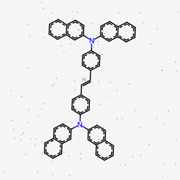 C(=C\c1ccc(N(c2ccc3ccccc3c2)c2ccc3ccccc3c2)cc1)/c1ccc(N(c2ccc3ccccc3c2)c2ccc3ccccc3c2)cc1